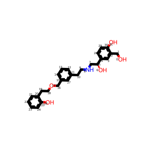 OCc1cc([C@@H](O)CNCCc2cccc(COCCc3ccccc3O)c2)ccc1O